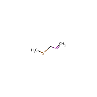 C=PCSC